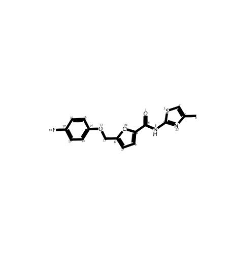 Cc1csc(NC(=O)c2ccc(COc3ccc(F)cc3)o2)n1